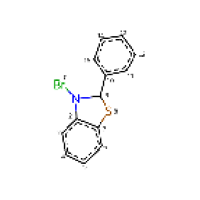 BrN1c2ccccc2SC1c1ccccc1